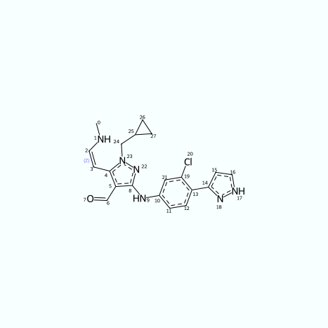 CN/C=C\c1c(C=O)c(Nc2ccc(-c3cc[nH]n3)c(Cl)c2)nn1CC1CC1